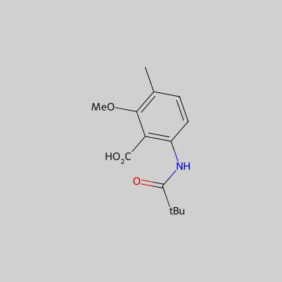 COc1c(C)ccc(NC(=O)C(C)(C)C)c1C(=O)O